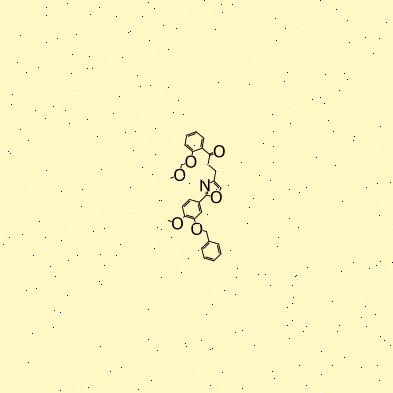 COCOc1ccccc1C(=O)CCc1coc(-c2ccc(OC)c(OCc3ccccc3)c2)n1